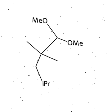 COC(OC)C(C)(C)CC(C)C